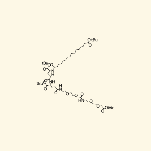 COC(=O)COCCOCCNC(=O)COCCOCCNC(=O)CC[C@H](NC(=O)CC[C@H](NC(=O)CCCCCCCCCCCCCCC(=O)OC(C)(C)C)C(=O)OC(C)(C)C)C(=O)OC(C)(C)C